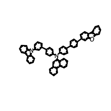 c1cc(-c2ccc(N(c3ccc(-c4ccc(-c5ccc6c(c5)oc5ccccc56)cc4)cc3)c3cc4ccccc4c4ccccc34)cc2)cc(-n2c3ccccc3c3ccccc32)c1